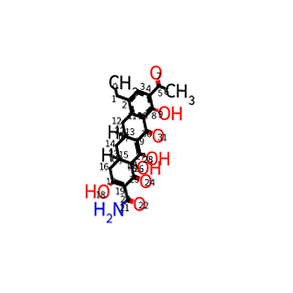 CCc1cc(C(C)=O)c(O)c2c1C[C@H]1C[C@H]3CC(O)=C(C(N)=O)C(=O)[C@@]3(O)C(O)=C1C2=O